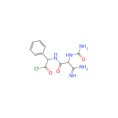 N=C(N)C(NC(N)=O)C(=O)NC(C(=O)Cl)c1ccccc1